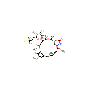 COc1cc2cc(c1Cl)N(C)C(=O)CC(OC(=O)[C@H](C)N(C)C(=O)CCC(C)(C)S)C(C)(C)OC(C)C1CC(O)(NC(=O)O1)C(OC)/C=C/C=C(\C)C2